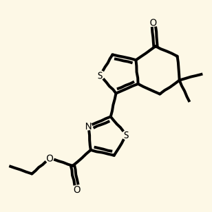 CCOC(=O)c1csc(-c2scc3c2CC(C)(C)CC3=O)n1